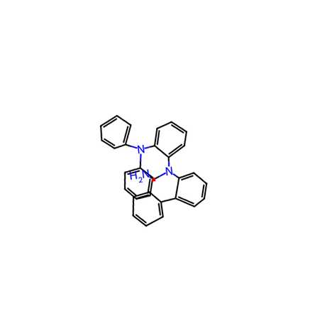 NCN(c1ccccc1-c1ccccc1)c1ccccc1N(c1ccccc1)c1ccccc1